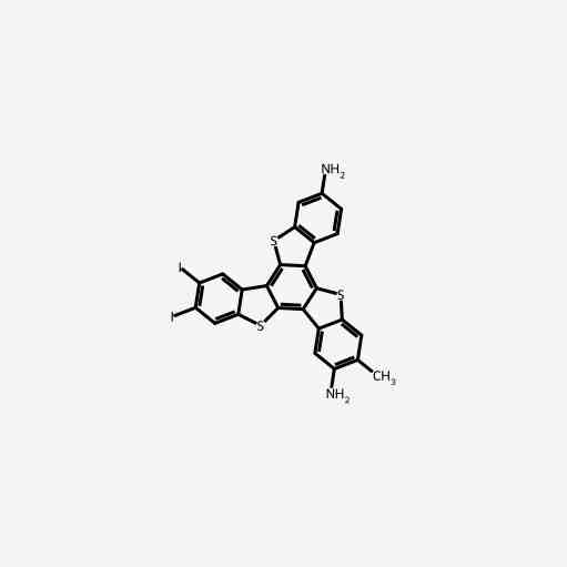 Cc1cc2sc3c4c5ccc(N)cc5sc4c4c5cc(I)c(I)cc5sc4c3c2cc1N